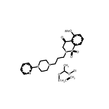 C=C.CCOC(C)OCC.COc1cccc2c1C(=O)CN(CCCN1CCN(c3ccccn3)CC1)S2(=O)=O